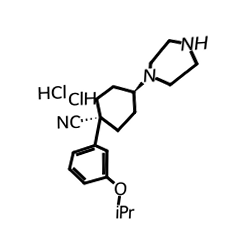 CC(C)Oc1cccc([C@]2(C#N)CC[C@H](N3CCNCC3)CC2)c1.Cl.Cl